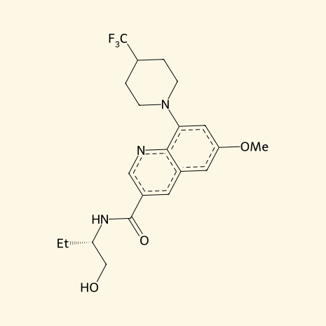 CC[C@@H](CO)NC(=O)c1cnc2c(N3CCC(C(F)(F)F)CC3)cc(OC)cc2c1